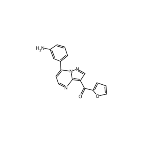 Nc1cccc(-c2ccnc3c(C(=O)c4ccco4)cnn23)c1